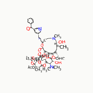 CCC(=O)O[C@@H]1CC(=O)O[C@@H](C/C=C/c2cncc(C(=O)c3ccccc3)c2)CCCN(C)C[C@H](O)[C@H](C)C[C@H](CC=O)[C@H](O[C@@H]2OC(C)[C@@H](O[C@H]3CC(C)(OC(C)=O)[C@@H](OC(=O)CC)C(C)O3)C(N(C)C)C2O)[C@H]1OC